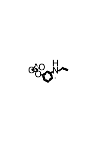 C=CCNc1[c]ccc(OS(C)(=O)=O)c1